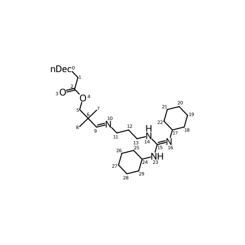 CCCCCCCCCCCC(=O)OCC(C)(C)/C=N/CCCN/C(=N\C1CCCCC1)NC1CCCCC1